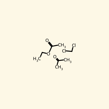 CC(C)=O.CCOC(C)=O.ClCCl